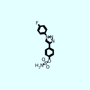 NS(=O)(=O)Oc1ccc(-c2cn(-c3ccc(F)cc3)nn2)cc1